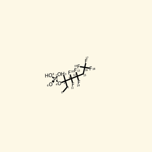 CCC(C)(OP(=O)(O)O)C(F)(F)C(F)(F)CC(F)(F)F